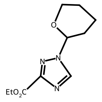 CCOC(=O)c1ncn(C2CCCCO2)n1